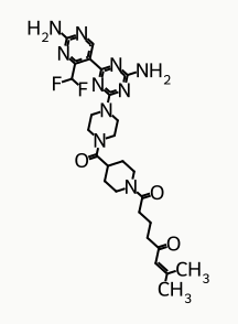 CC(C)=CC(=O)CCCC(=O)N1CCC(C(=O)N2CCN(c3nc(N)nc(-c4cnc(N)nc4C(F)F)n3)CC2)CC1